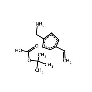 C=Cc1ccc(CN)cc1.CC(C)(C)OC(=O)O